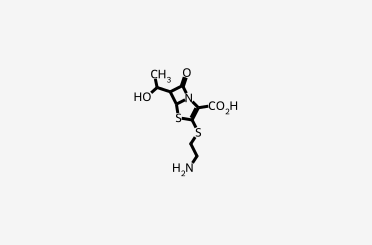 CC(O)C1C(=O)N2C(C(=O)O)=C(SCCN)SC12